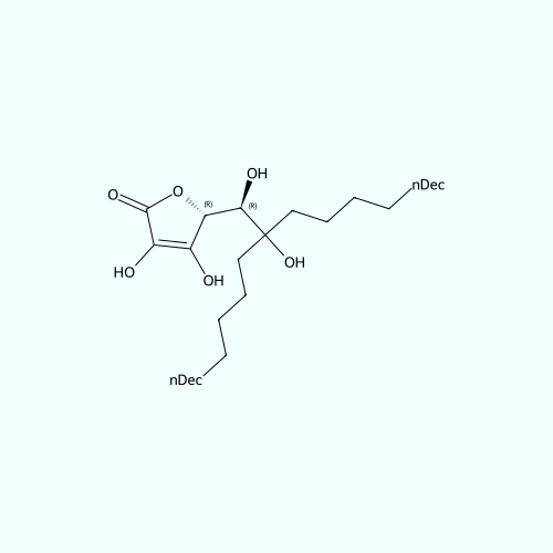 CCCCCCCCCCCCCCC(O)(CCCCCCCCCCCCCC)[C@H](O)[C@H]1OC(=O)C(O)=C1O